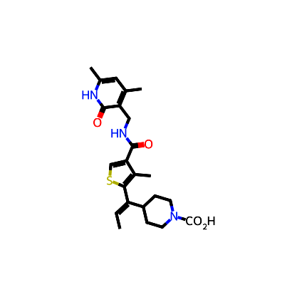 CC=C(c1scc(C(=O)NCc2c(C)cc(C)[nH]c2=O)c1C)C1CCN(C(=O)O)CC1